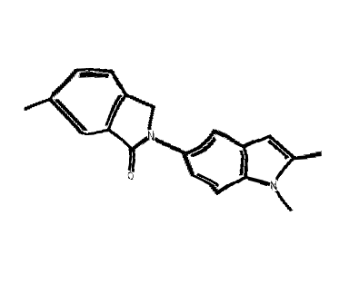 Cc1ccc2c(c1)C(=O)N(c1ccc3c(c1)cc(C)n3C)C2